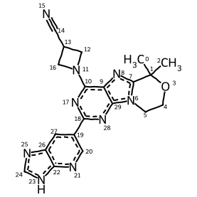 CC1(C)OCCn2c1nc1c(N3CC(C#N)C3)nc(-c3cnc4[nH]cnc4c3)nc12